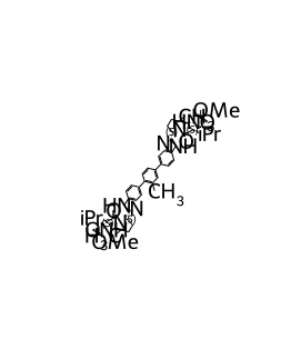 COC(=O)N[C@H](C(=O)N1C(C)CC[C@H]1c1nc2cc(-c3ccc(-c4ccc5[nH]c([C@@H]6CCC(C)N6C(=O)[C@@H](NC(=O)OC)C(C)C)nc5c4)c(C)c3)ccc2[nH]1)C(C)C